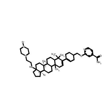 CC1(C)C(C2=CCC(COc3cc(C(N)=O)ccn3)CC2)=CCC2(C)C3CCC4[C@H]5CCCC5(NCCN5CC[S+]([O-])CC5)CC[C@@]4(C)C3CCC12